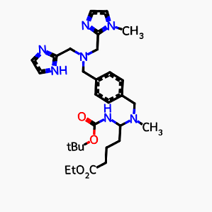 CCOC(=O)CCCC(NC(=O)OC(C)(C)C)N(C)Cc1ccc(CN(Cc2ncc[nH]2)Cc2nccn2C)cc1